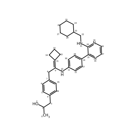 CC(O)Cc1ccc(CC(Nc2ccc(-c3nccnc3NCC3CCCCC3)cc2)=C2CCC2)cc1